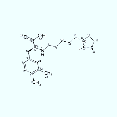 Cc1ccc(C[C@H](NCCCCC[C@@H]2CCSS2)C(=O)O)cc1C